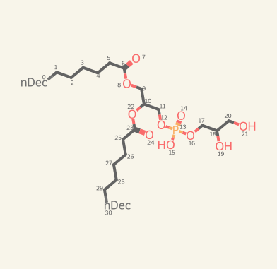 CCCCCCCCCCCCCCCC(=O)OCC(COP(=O)(O)OCC(O)CO)OC(=O)CCCCCCCCCCCCCCC